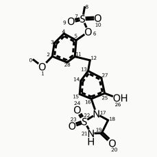 COc1ccc(OS(C)(=O)=O)c(Cc2ccc(N3CC(=O)NS3(=O)=O)c(O)c2)c1